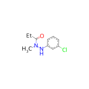 CCC(=O)N(C)Nc1cccc(Cl)c1